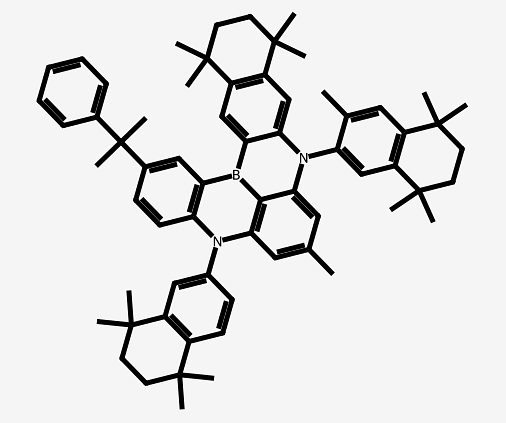 Cc1cc2c3c(c1)N(c1cc4c(cc1C)C(C)(C)CCC4(C)C)c1cc4c(cc1B3c1cc(C(C)(C)c3ccccc3)ccc1N2c1ccc2c(c1)C(C)(C)CCC2(C)C)C(C)(C)CCC4(C)C